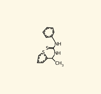 CC(NC(=S)Nc1ccccc1)c1cccs1